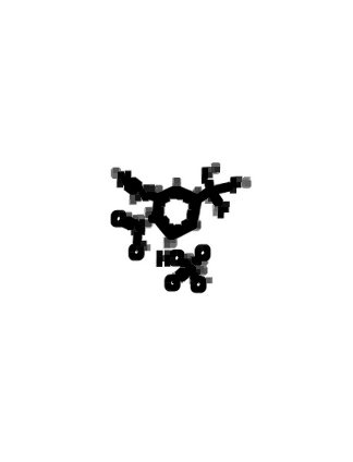 N#[N+]c1cc(C(F)(F)F)ccc1[N+](=O)[O-].O=S(=O)([O-])O